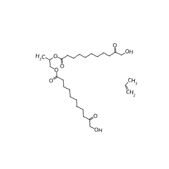 C=CC.CC(COC(=O)CCCCCCCCC(=O)CO)OC(=O)CCCCCCCCC(=O)CO